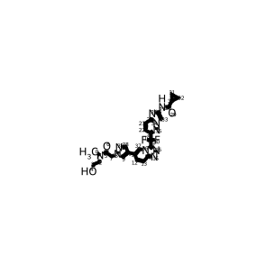 CN(CCO)C(=O)Cn1cc(-c2ccc3nnc(C(F)(F)c4ccc5nc(NC(=O)C6CC6)cn5n4)n3c2)cn1